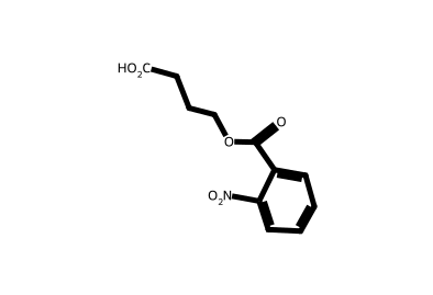 O=C(O)CCCOC(=O)c1ccccc1[N+](=O)[O-]